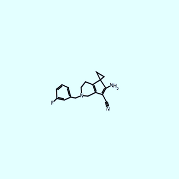 N#CC1=C(N)C2(CC2)C2=C1CN(Cc1cccc(F)c1)CC2